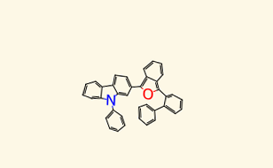 c1ccc(-c2ccccc2-c2oc(-c3ccc4c5ccccc5n(-c5ccccc5)c4c3)c3ccccc23)cc1